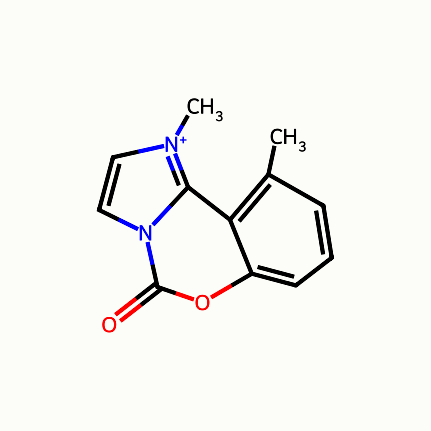 Cc1cccc2oc(=O)n3cc[n+](C)c3c12